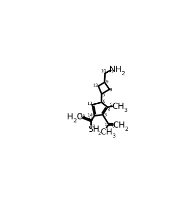 C=C(C)C1=C(C)C(C2CC(CN)C2)C=C1C(=C)S